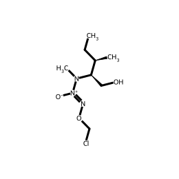 CC[C@@H](C)[C@@H](CO)N(C)/[N+]([O-])=N/OCCl